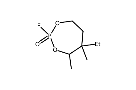 CCC1(C)CCOP(=O)(F)OC1C